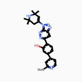 CNc1cc(-c2ccc(-c3cc4nnn(C5=CC(C)(C)NC(C)(C)C5)c4nn3)c(O)c2)ccn1